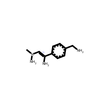 CN(N)/C=C(\N)c1ccc(CN)cc1